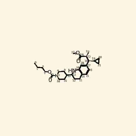 CCCCOC(=O)N1CCC(C2CCc3ccc([C@H](C4CC4)[C@H](C)C(=O)OC)cc3N2)CC1